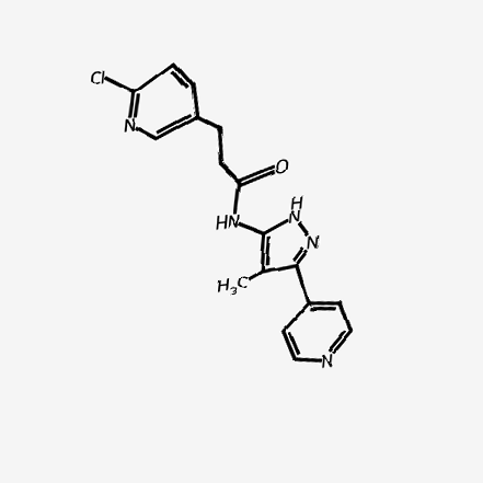 Cc1c(-c2ccncc2)n[nH]c1NC(=O)CCc1ccc(Cl)nc1